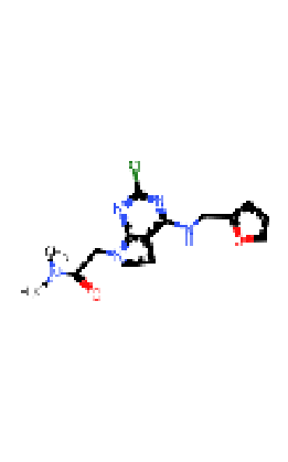 CN(C)C(=O)Cn1ccc2c(NCc3ccco3)nc(Cl)nc21